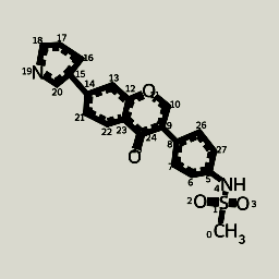 CS(=O)(=O)Nc1ccc(-c2coc3cc(-c4cccnc4)ccc3c2=O)cc1